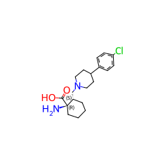 N[C@]1(C(=O)O)CCCC[C@H]1CN1CCC(c2ccc(Cl)cc2)CC1